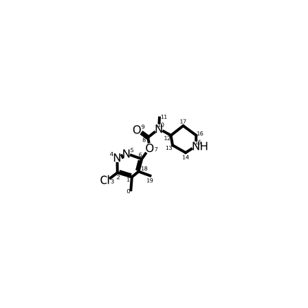 Cc1c(Cl)nnc(OC(=O)N(C)C2CCNCC2)c1C